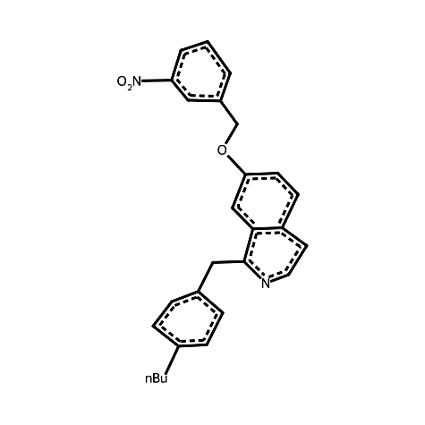 CCCCc1ccc(Cc2nccc3ccc(OCc4cccc([N+](=O)[O-])c4)cc23)cc1